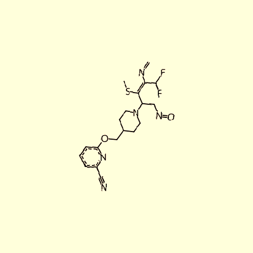 C=N/C(=C(\SC)C(CN=O)N1CCC(COc2cccc(C#N)n2)CC1)C(F)F